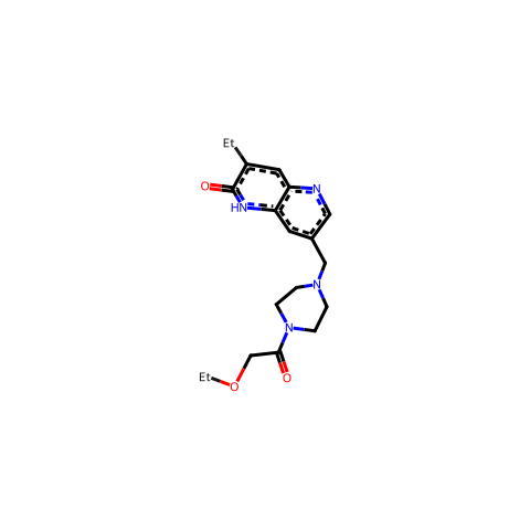 CCOCC(=O)N1CCN(Cc2cnc3cc(CC)c(=O)[nH]c3c2)CC1